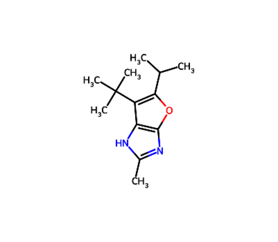 Cc1nc2oc(C(C)C)c(C(C)(C)C)c2[nH]1